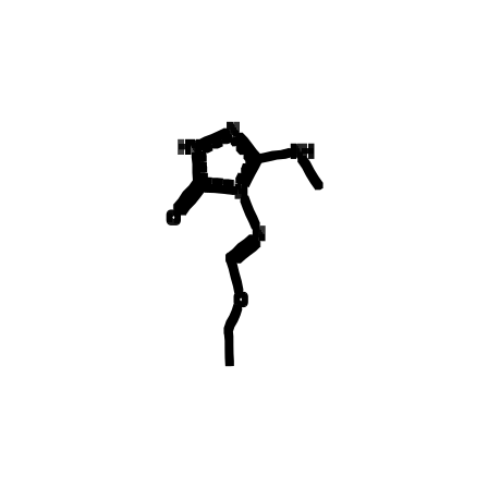 CCO/C=N/n1c(NC)n[nH]c1=O